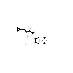 C[C@@H]1CN(S(C)(=O)=O)C[C@H]1NC(=O)c1cc(C2CC2)on1